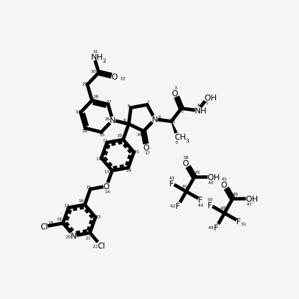 C[C@H](C(=O)NO)N1CCC(c2ccc(OCc3cc(Cl)nc(Cl)c3)cc2)(N2C=C(CC(N)=O)C=CC2)C1=O.O=C(O)C(F)(F)F.O=C(O)C(F)(F)F